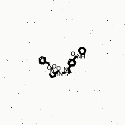 O=C(NC1CCCCC1)c1ccc(-c2csc(NC(=O)C3CCCN3C(=O)OCc3ccccc3)n2)cc1